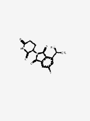 CC(C)c1cc(F)cc2c1C(=O)N(C1CCC(=O)NC1=O)C2=O